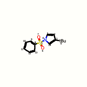 CC(C)(C)c1ccn(S(=O)(=O)c2ccccc2)c1